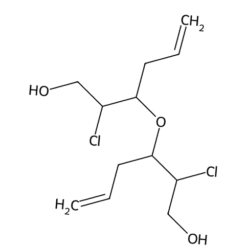 C=CCC(OC(CC=C)C(Cl)CO)C(Cl)CO